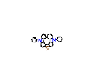 C1=CCC(n2c3c(c4c5c(ccc42)sc2ccc4c(c6ccccc6n4-c4ccccc4)c25)CCC=C3)C=C1